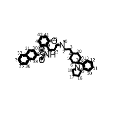 CN(CCC1CCC(c2ccccc2)(N2CCCC2)CC1)C(=O)CC(NS(=O)(=O)c1ccc2ccccc2c1)c1ccccc1